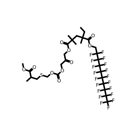 CCC(C)(CC(C)(C)C(=O)OCC(=O)COC(=O)OCSCC(C)C(=O)OC)C(=O)OCC(F)(F)C(F)(F)C(F)(F)C(F)(F)C(F)(F)C(F)(F)C(F)(F)C(F)(F)C(F)(F)F